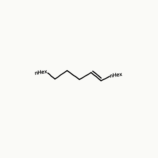 CCCCCCC=CCCCCCCCCC